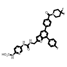 O=C(O)Nc1ccc(NC(=O)NCc2cc3cc(-c4ccc(C(=O)N5CCC(F)(F)CC5)cc4)cc(-c4ccc(F)cc4)c3o2)cn1